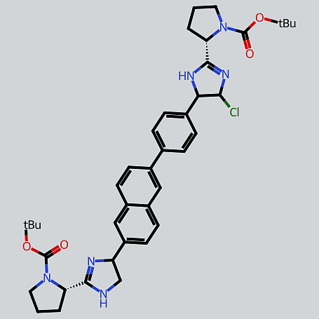 CC(C)(C)OC(=O)N1CCC[C@H]1C1=NC(c2ccc3cc(-c4ccc(C5NC([C@@H]6CCCN6C(=O)OC(C)(C)C)=NC5Cl)cc4)ccc3c2)CN1